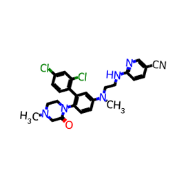 CN1CCN(c2ccc(N(C)CCNc3ccc(C#N)cn3)cc2-c2ccc(Cl)cc2Cl)C(=O)C1